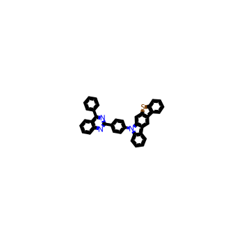 c1ccc(-c2nc(-c3ccc(-n4c5ccccc5c5cc6c(cc54)sc4ccccc46)cc3)nc3ccccc23)cc1